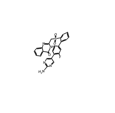 Nc1ncc(-c2ccc(-c3ccccc3S(=O)(=O)Cc3nc4ccccc4c(=O)[nH]3)cc2F)cn1